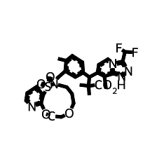 Cc1ccc(C(c2ccn3c(C(F)F)nnc3c2C)C(C)(C)C(=O)O)cc1CN1CCCOCCOc2ncccc2S1(=O)=O